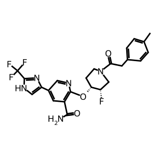 Cc1ccc(CC(=O)N2CC[C@@H](Oc3ncc(-c4c[nH]c(C(F)(F)F)n4)cc3C(N)=O)[C@@H](F)C2)cc1